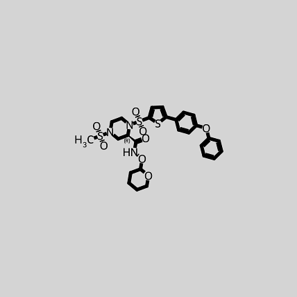 CS(=O)(=O)N1CCN(S(=O)(=O)c2ccc(-c3ccc(Oc4ccccc4)cc3)s2)[C@@H](C(=O)NOC2CCCCO2)C1